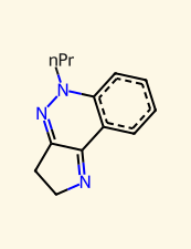 CCCN1N=C2CCN=C2c2ccccc21